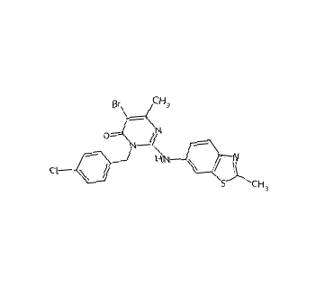 Cc1nc2ccc(Nc3nc(C)c(Br)c(=O)n3Cc3ccc(Cl)cc3)cc2s1